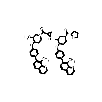 Cc1c(-c2ccc(OC3CCN(C(=O)C4CC4)CC3C)cc2)ccc2cccnc12.Cc1c(-c2ccc(OC3CCN(C(=O)[C@H]4CCCO4)CC3C)cc2)ccc2cccnc12